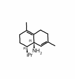 CC1=C[C@@]2(N)C(=C(C)CC[C@@H]2C(C)C)CC1